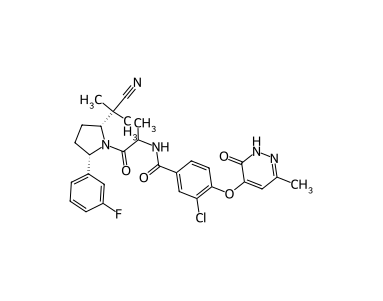 Cc1cc(Oc2ccc(C(=O)NC(C)C(=O)N3[C@H](c4cccc(F)c4)CC[C@@H]3C(C)(C)C#N)cc2Cl)c(=O)[nH]n1